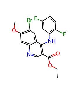 CCOC(=O)c1cnc2cc(OC)c(Br)cc2c1Nc1cc(F)ccc1F